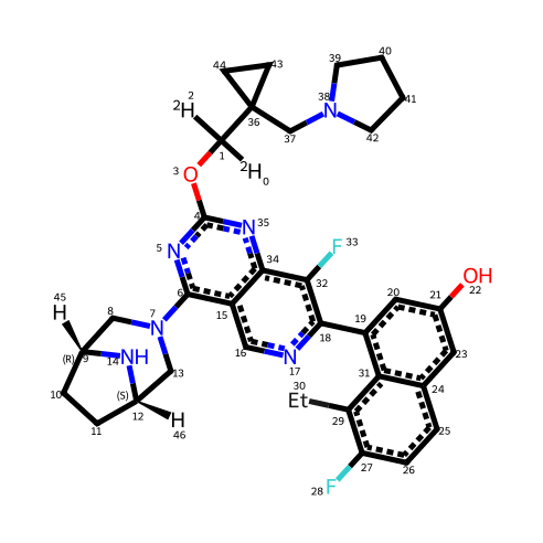 [2H]C([2H])(Oc1nc(N2C[C@H]3CC[C@@H](C2)N3)c2cnc(-c3cc(O)cc4ccc(F)c(CC)c34)c(F)c2n1)C1(CN2CCCC2)CC1